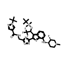 CN1CC[C@@H](Nc2cccc3c(C(O[Si](C)(C)C(C)(C)C)C(F)(F)F)c(-c4noc(CNC(=O)c5cnn(C(C)(C)C)c5)n4)sc23)[C@@H](F)C1